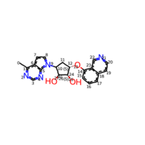 Cc1ncnc2c1ccn2C1C[C@H](Oc2cccc3ccncc23)[C@@H](O)[C@H]1O